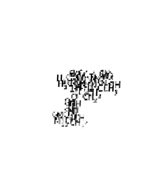 CC[C@@H](C)[C@H]([C@H](CC(=O)N1CCC[C@@H]1[C@@H](OC)[C@H](C)C(=O)N[C@@H](C)[C@H](O)c1ccccc1)OC)N(C)C(=O)C(NC(=O)[C@@H](C(C)C)N(C)C(=O)OCc1ccc(NC(=O)[C@H](CCCNC(N)=O)NC(=O)[C@@H](NC)C(C)C)cc1)C(C)C